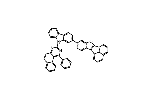 c1ccc(-c2nc(-n3c4ccccc4c4ccc(-c5ccc6c7c(oc6c5)-c5cccc6cccc-7c56)cc43)nc3ccc4ccccc4c23)cc1